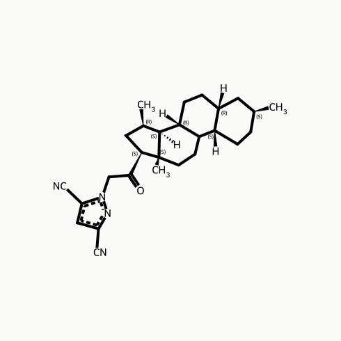 C[C@H]1CC[C@@H]2C3CC[C@@]4(C)[C@@H]([C@H](C)C[C@@H]4C(=O)Cn4nc(C#N)cc4C#N)[C@@H]3CC[C@@H]2C1